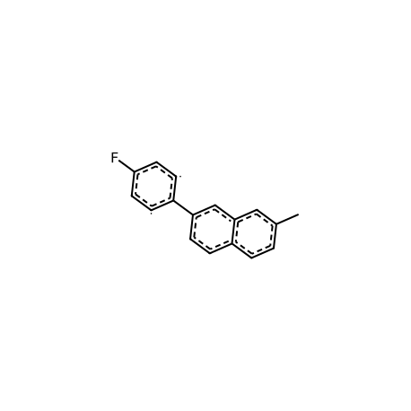 Cc1ccc2ccc(-c3[c]cc(F)c[c]3)cc2c1